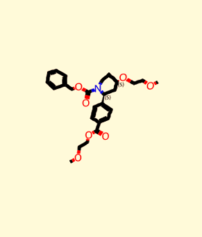 COCCOC(=O)c1ccc([C@@H]2C[C@@H](OCCOC)CCN2C(=O)OCc2ccccc2)cc1